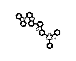 C1=CC2Sc3c(-c4cccc5c4oc4ccc(C6=NC(c7ccccc7)NC(c7ccccc7)=N6)cc45)cccc3C2C(n2c3ccccc3c3ccccc32)=C1